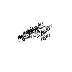 O=C(CS)OCC(COC(=O)CS)(COC(=O)CS)COC(=O)CCS.O=C(O)CCS.O=C(O)CCS.O=C(O)CCS.O=C(O)CCS.OCC(CO)(CO)CO.OCC(CO)(CO)CO